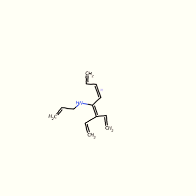 C=C/C=C\C(NCC=C)=C(C=C)C=C